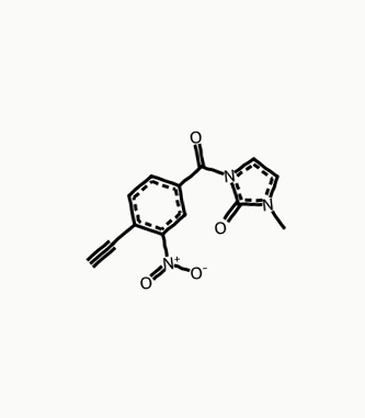 C#Cc1ccc(C(=O)n2ccn(C)c2=O)cc1[N+](=O)[O-]